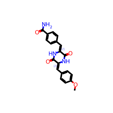 COc1ccc(/C=c2\[nH]c(=O)/c(=C/c3ccc(C(N)=O)cc3)[nH]c2=O)cc1